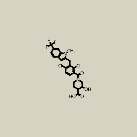 Cn1c(Cc2c(Cl)ccc(C(=O)N3CCC(C(=O)O)C(O)C3)c2Cl)cc2ccc(C(F)(F)F)cc21